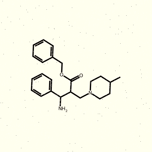 CC1CCN(CC(C(=O)OCc2ccccc2)C(N)c2ccccc2)CC1